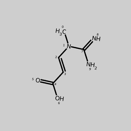 CN(C=CC(=O)O)C(=N)N